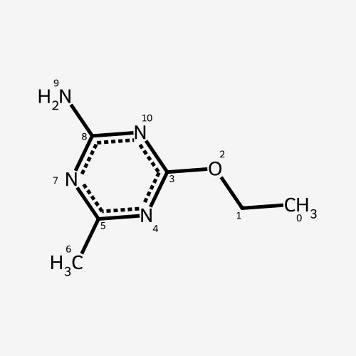 CCOc1nc(C)nc(N)n1